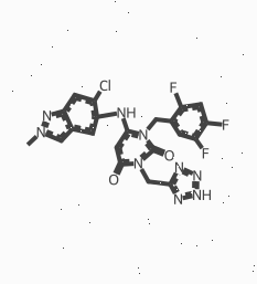 Cn1cc2cc(Nc3cc(=O)n(Cc4nn[nH]n4)c(=O)n3Cc3cc(F)c(F)cc3F)c(Cl)cc2n1